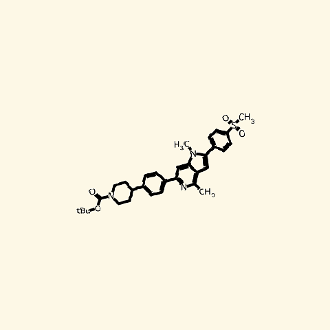 Cc1nc(-c2ccc(C3CCN(C(=O)OC(C)(C)C)CC3)cc2)cc2c1cc(-c1ccc(S(C)(=O)=O)cc1)n2C